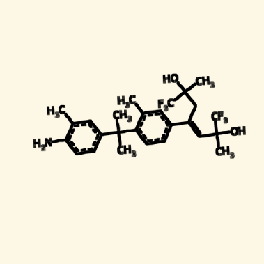 Cc1cc(C(C)(C)c2ccc(/C(=C/C(C)(O)C(F)(F)F)CC(C)(O)C(F)(F)F)cc2C)ccc1N